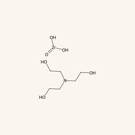 OCCN(CCO)CCO.[O]=[Zr]([OH])[OH]